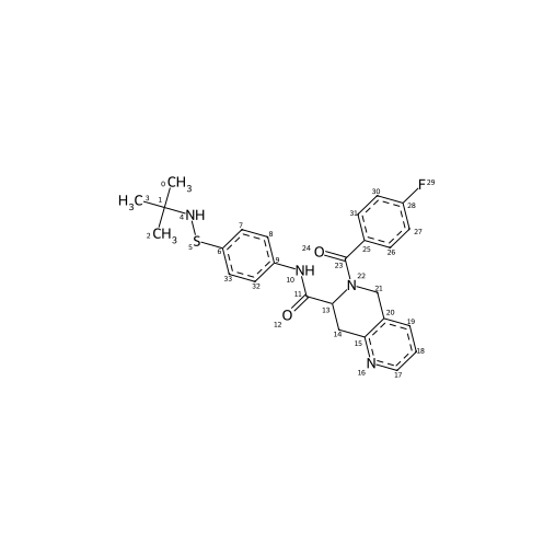 CC(C)(C)NSc1ccc(NC(=O)C2Cc3ncccc3CN2C(=O)c2ccc(F)cc2)cc1